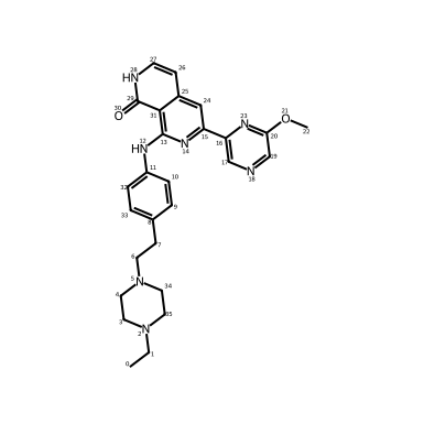 CCN1CCN(CCc2ccc(Nc3nc(-c4cncc(OC)n4)cc4cc[nH]c(=O)c34)cc2)CC1